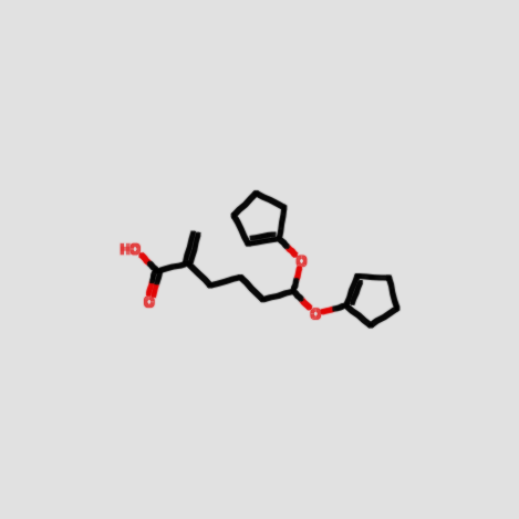 C=C(CCCC(OC1=CCCC1)OC1=CCCC1)C(=O)O